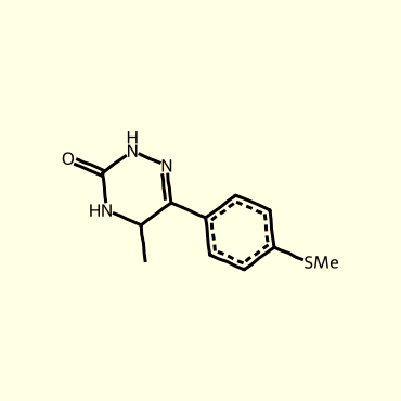 CSc1ccc(C2=NNC(=O)NC2C)cc1